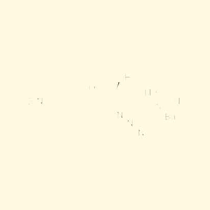 CC(C)(C)[Si](C)(C)OC[C@H](N=[N+]=[N-])[C@H](O)COc1ccc([N+](=O)[O-])cc1